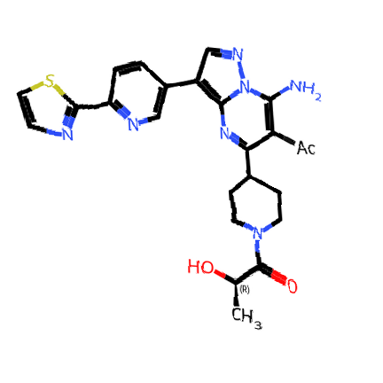 CC(=O)c1c(C2CCN(C(=O)[C@@H](C)O)CC2)nc2c(-c3ccc(-c4nccs4)nc3)cnn2c1N